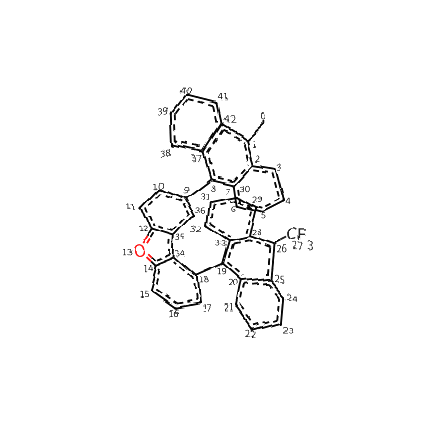 Cc1c2ccccc2c(-c2ccc3oc4cccc(-c5c6ccccc6c(C(F)(F)F)c6ccccc56)c4c3c2)c2ccccc12